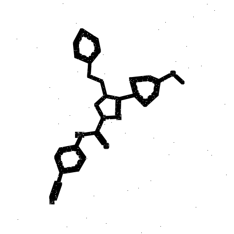 COc1ccc(C2=NN(C(=O)Nc3ccc(C#N)cc3)CC2CCc2ccccc2)cc1